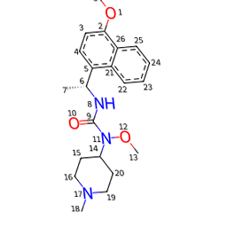 COc1ccc([C@@H](C)NC(=O)N(OC)C2CCN(C)CC2)c2ccccc12